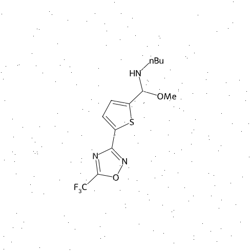 CCCCNC(OC)c1ccc(-c2noc(C(F)(F)F)n2)s1